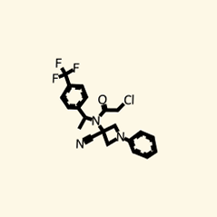 CC(c1ccc(C(F)(F)F)cc1)N(C(=O)CCl)C1(C#N)CN(c2ccccc2)C1